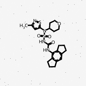 Cc1cc(N(C2CCOCC2)S(=O)(=O)NC(=O)Nc2c3c(cc4c2CCC4)CCC3)sn1